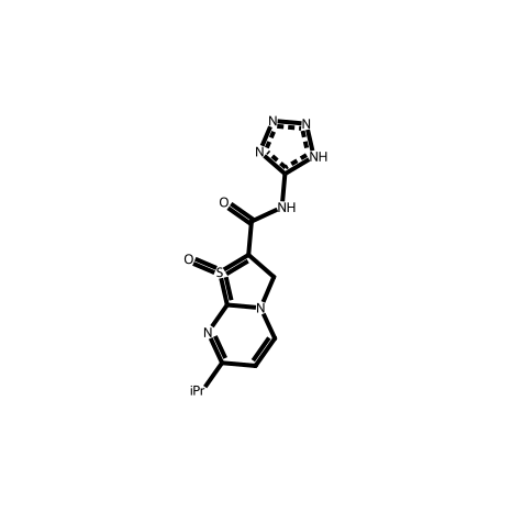 CC(C)C1=NC2=S(=O)=C(C(=O)Nc3nnn[nH]3)CN2C=C1